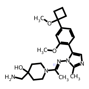 COc1cc(C2(OC)CCC2)ccc1-c1cnc(C)n1/N=C(\C)N1CCC(O)(CN)CC1